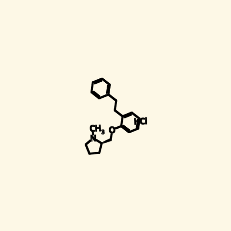 CN1CCC[C@@H]1COc1ccccc1CCc1ccccc1.Cl